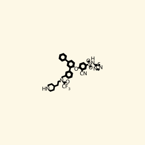 N#Cc1cc(S(=O)(=O)Nc2ncns2)ccc1Oc1ccc(-c2ccccc2)cc1-c1cccc(CN(CCC2CCNCC2)C(=O)C(F)(F)F)c1